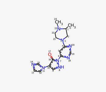 CC1CN(c2cc(-n3[nH]cc(-n4ccnc4)c3=O)ncn2)CCN1C